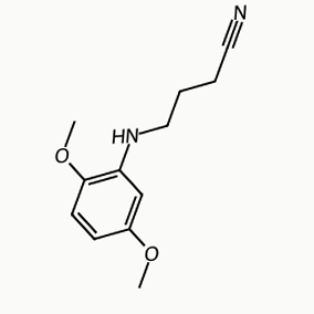 COc1ccc(OC)c(NCCCC#N)c1